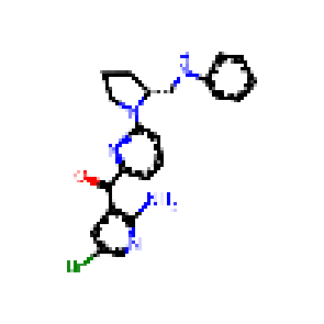 Nc1ncc(Br)cc1C(=O)c1cccc(N2CCC[C@@H]2CNc2ccccc2)n1